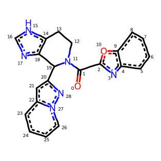 O=C(c1nc2ccccc2o1)N1CCc2[nH]cnc2C1c1cc2ccccn2n1